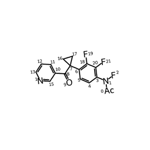 CC(=O)N(F)c1ccc(C2(C(=O)c3cccnc3)CC2)c(F)c1F